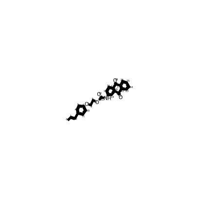 CC=Cc1ccc(OCCOC(=O)Nc2ccc3c(c2)C(=O)c2ccccc2C3=O)cc1